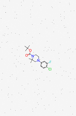 CC(C)(C)OC(=O)N1CCN(c2ccc(Cl)c(F)c2)CC1(C)C